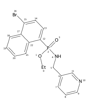 CCOP(=O)(NCc1cccnc1)c1ccc(Br)c2ccccc12